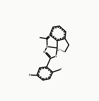 CC(=O)N1N=C(c2cc(F)ccc2F)S[C@@]12CCc1ccccc12